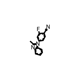 Cc1nc2ccccc2n1-c1ccc(C#N)c(F)c1